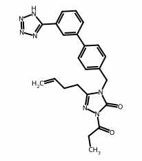 C=CCCc1nn(C(=O)CC)c(=O)n1Cc1ccc(-c2cccc(-c3nnn[nH]3)c2)cc1